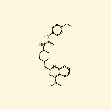 CCc1ccc(NC(=S)NC2CCC(Nc3nc(N(C)C)c4ccccc4n3)CC2)cc1